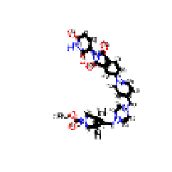 CC(C)(C)OC(=O)N1C[C@@H]2C(CN3CCN(CC4CCN(c5ccc6c(c5)C(=O)N(C5CCC(=O)NC5=O)C6=O)CC4)CC3)[C@@H]2C1